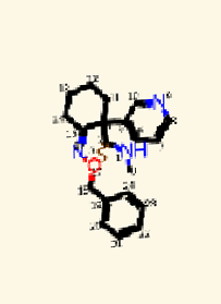 CNC(=S)C1(c2cccnc2)CCCC/C1=N/OCc1ccccc1